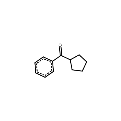 O=C(c1cc[c]cc1)C1CCCC1